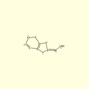 O/N=C1/CC2=C(COC=C2)C1